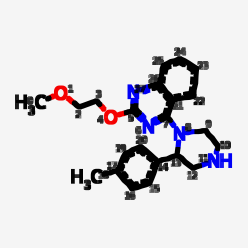 COCCOc1nc(N2CCNCC2c2ccc(C)cc2)c2ccccc2n1